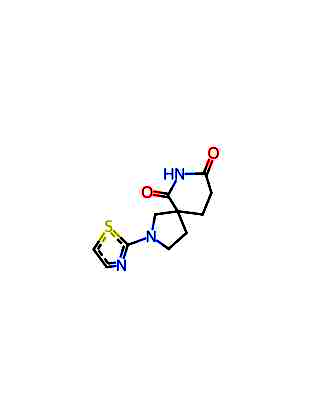 O=C1CCC2(CCN(c3nccs3)C2)C(=O)N1